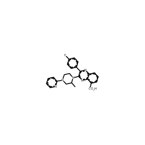 CC1CN(c2ccccn2)CCN1c1nc2c(C(=O)O)cccc2nc1-c1ccc(F)cc1